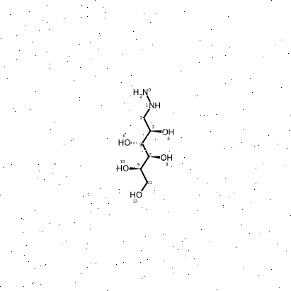 NNC[C@@H](O)[C@@H](O)[C@@H](O)[C@H](O)CO